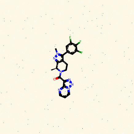 C[C@H]1c2nn(C)c(-c3cc(F)c(F)c(F)c3)c2CCN1C(=O)c1nnn2cccnc12